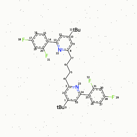 CC(C)(C)c1cc(CCCCc2cc(C(C)(C)C)cc(-c3ccc(F)cc3F)n2)nc(-c2ccc(F)cc2F)c1